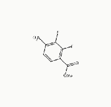 COC(=O)c1ccc([N+](=O)[O-])c(F)c1F